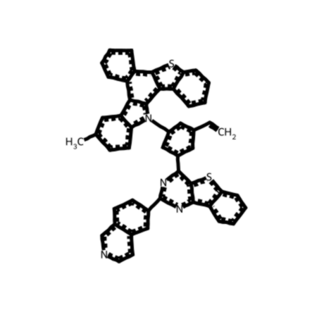 C=Cc1cc(-c2nc(-c3ccc4cnccc4c3)nc3c2sc2ccccc23)cc(-n2c3ccc(C)cc3c3c4ccccc4c4sc5ccccc5c4c32)c1